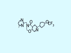 Cc1ccnc(CN2CCOc3cnc(-c4ccc(OC(F)(F)F)cc4)cc3C2=O)n1